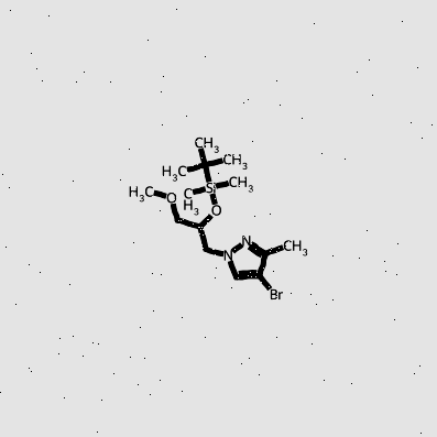 COCC(Cn1cc(Br)c(C)n1)O[Si](C)(C)C(C)(C)C